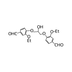 CCOc1cc(C=O)ccc1OCC(O)COc1ccc(C=O)cc1OCC